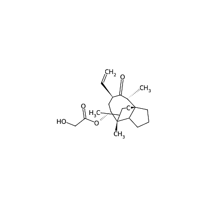 C=C[C@@H]1C[C@@H](OC(=O)CO)[C@]2(C)C(C)CC[C@]3(CCCC32)[C@@H](C)C1=O